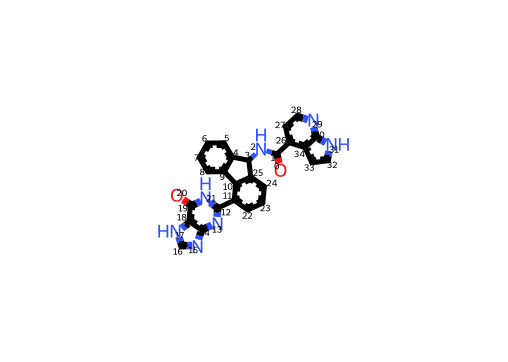 O=C(NC1c2ccccc2-c2c(-c3nc4nc[nH]c4c(=O)[nH]3)cccc21)c1ccnc2[nH]ccc12